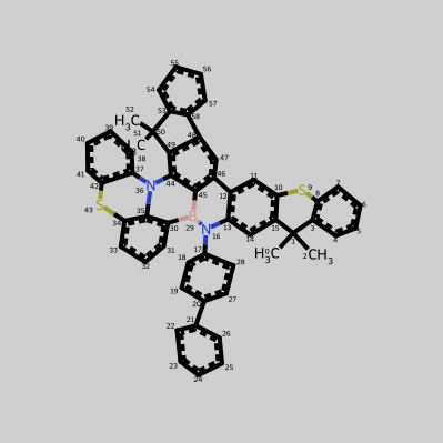 CC1(C)c2ccccc2Sc2cc3c(cc21)N(c1ccc(-c2ccccc2)cc1)B1c2cccc4c2N(c2ccccc2S4)c2c1c-3cc1c2C(C)(C)c2ccccc2-1